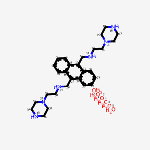 O.O.O.O.O.O.c1ccc2c(CNCCN3CCNCC3)c3ccccc3c(CNCCN3CCNCC3)c2c1